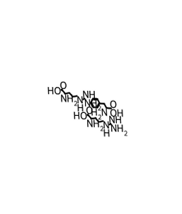 N=C(N)NCCCC(N)C(=O)O.N=C(N)NCCCC(N)C(=O)O.NC(Cc1ccccc1)C(=O)O